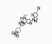 CC(C)Nc1cc(-n2ncc3cc(C#N)cnc32)ncc1-n1cc(C2CCN(S(C)(=O)=O)CC2)nn1